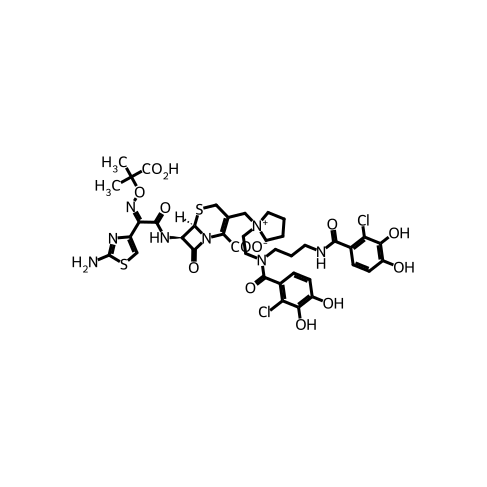 CC(C)(O/N=C(\C(=O)N[C@@H]1C(=O)N2C(C(=O)[O-])=C(C[N+]3(CCN(CCCNC(=O)c4ccc(O)c(O)c4Cl)C(=O)c4ccc(O)c(O)c4Cl)CCCC3)CS[C@H]12)c1csc(N)n1)C(=O)O